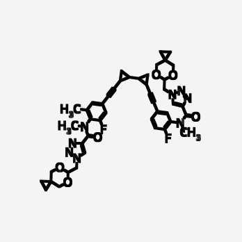 Cc1cc(C#CC2CC2C2CC2C#Cc2ccc(F)c(N(C)C(=O)c3cn(CC4OCC5(CC5)CO4)nn3)c2)cc(F)c1N(C)C(=O)c1cn(CC2OCC3(CC3)CO2)nn1